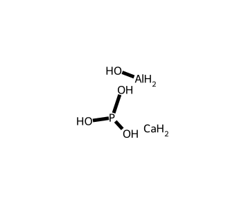 OP(O)O.[CaH2].[OH][AlH2]